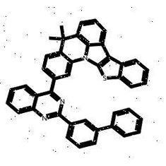 CC1(C)c2ccc(-c3nc(-c4cccc(-c5ccccc5)c4)nc4ccccc34)cc2-n2c3sc4ccccc4c3c3cccc1c32